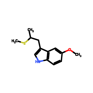 COc1ccc2[nH]cc(CC(C)SC)c2c1